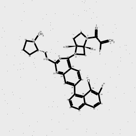 C=C(F)C(=O)N1CC[C@@H]2[C@H]1CN2c1nc(OC[C@@H]2CCCN2C)nc2cc(-c3cccc4ccc(F)c(Cl)c34)ccc12